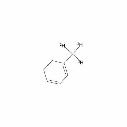 [2H]C([2H])([2H])C1=CC=CCC1